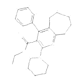 CCOC(=O)c1c(N2CCCCC2)nc2c(c1-c1ccccc1)CCCCC2